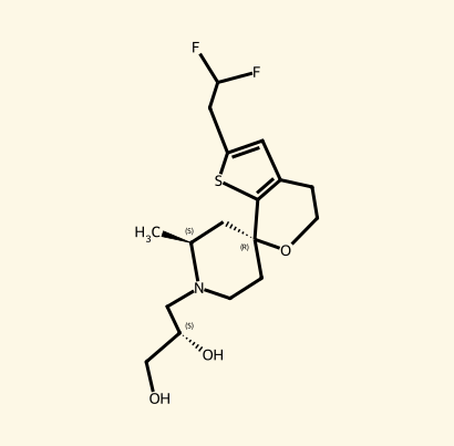 C[C@H]1C[C@@]2(CCN1C[C@H](O)CO)OCCc1cc(CC(F)F)sc12